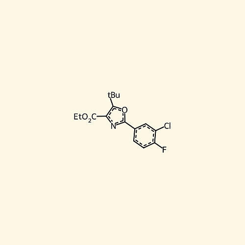 CCOC(=O)c1nc(-c2ccc(F)c(Cl)c2)oc1C(C)(C)C